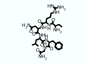 CCC(N)C(=O)NC(CCCNC(=N)N)C(=O)NC(CC(N)=O)C(=O)NC(CC(C)C)C(=O)NC(Cc1ccccc1)C(=O)NCC(N)=O